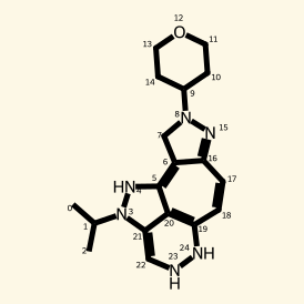 CC(C)N1NC2=C3CN(C4CCOCC4)N=C3C=CC3=C2C1=CNN3